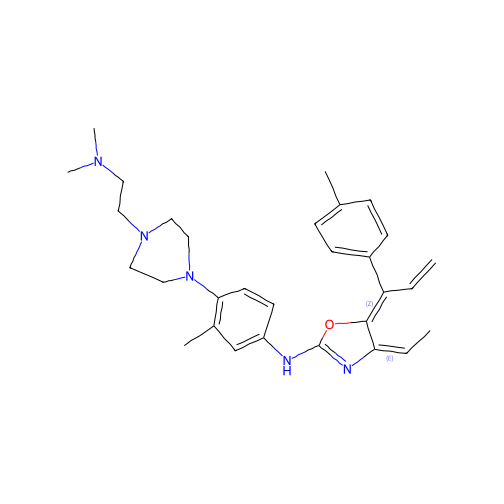 C=C/C(c1ccc(C)cc1)=c1/oc(Nc2ccc(N3CCN(CCN(C)C)CC3)c(C)c2)n/c1=C/C